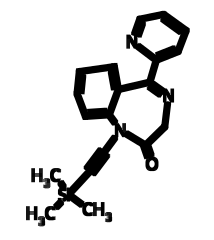 C[Si](C)(C)C#CN1C(=O)CN=C(c2ccccn2)c2ccccc21